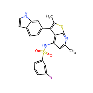 Cc1cc(NS(=O)(=O)c2cccc(I)c2)c2c(-c3ccc4cc[nH]c4c3)c(C)sc2n1